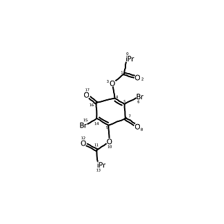 CC(C)C(=O)OC1=C(Br)C(=O)C(OC(=O)C(C)C)=C(Br)C1=O